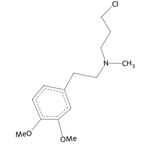 COc1ccc(CCN(C)CCCCl)cc1OC